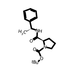 C[C@@H](NC(=O)[C@H]1CCCN1C(=O)OC(C)(C)C)c1ccccc1